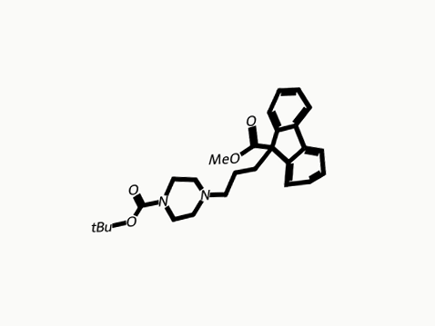 COC(=O)C1(CCCN2CCN(C(=O)OC(C)(C)C)CC2)c2ccccc2-c2ccccc21